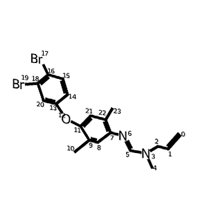 C=CCN(C)C=Nc1cc(C)c(Oc2ccc(Br)c(Br)c2)cc1C